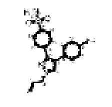 C=CCn1cc(-c2ccc(F)cc2)c(-c2ccc(S(N)(=O)=O)cc2)n1